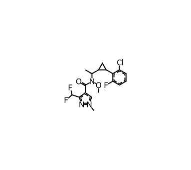 CON(C(=O)c1cn(C)nc1C(F)F)C(C)C1CC1c1c(F)cccc1Cl